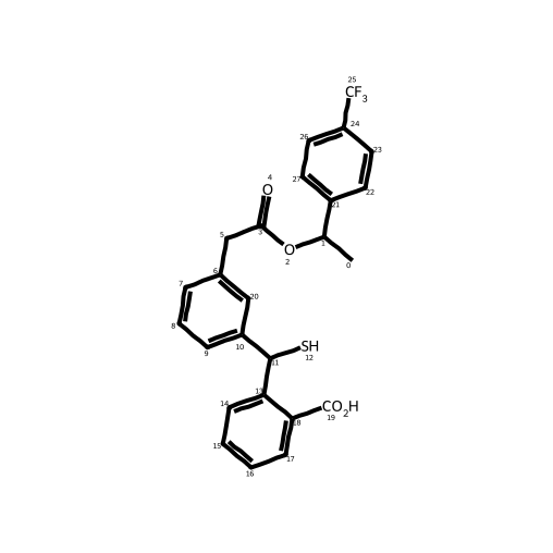 CC(OC(=O)Cc1cccc(C(S)c2ccccc2C(=O)O)c1)c1ccc(C(F)(F)F)cc1